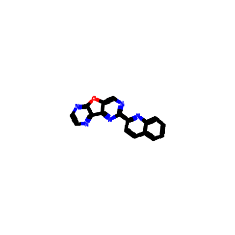 c1ccc2nc(-c3ncc4oc5nccnc5c4n3)ccc2c1